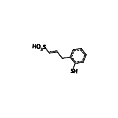 O=S(=O)(O)C=CCc1ccccc1S